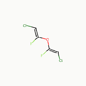 FC(=CCl)OC(F)=CCl